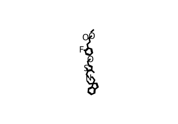 CCOC(=O)CCc1ccc(OCc2cc(C)c(CN3CCC4(C=Cc5ccccc54)CC3)s2)cc1F